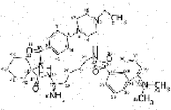 CCN1CCN(c2ccc(C(=O)NC3(C(=O)N[C@H](N)CCCCNS(=O)(=O)c4cccc5c(N(C)C)cccc45)CCCCC3)cc2)CC1